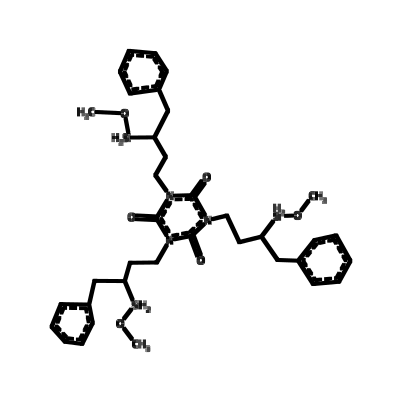 CO[SiH2]C(CCn1c(=O)n(CCC(Cc2ccccc2)[SiH2]OC)c(=O)n(CCC(Cc2ccccc2)[SiH2]OC)c1=O)Cc1ccccc1